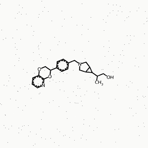 CC(CO)C1C2CN(Cc3ccc(C4COc5cccnc5O4)cc3)CC21